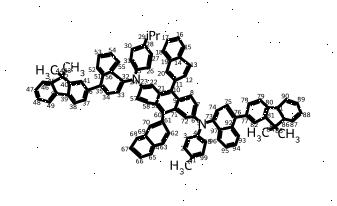 Cc1ccc(N(c2ccc3c(-c4ccc5ccccc5c4)c4cc(N(c5ccc(C(C)C)cc5)c5ccc(-c6ccc7c(c6)C(C)(C)c6ccccc6-7)c6ccccc56)ccc4c(-c4ccc5ccccc5c4)c3c2)c2ccc(-c3ccc4c(c3)C(C)(C)C3C=CC=CC43)c3ccccc23)cc1